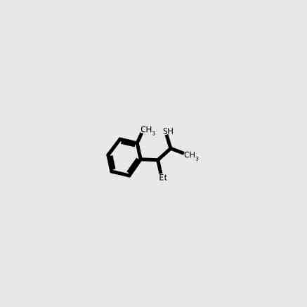 CCC(c1ccccc1C)C(C)S